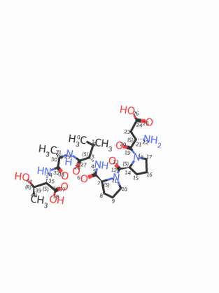 CC(C)[C@H](NC(=O)[C@@H]1CCCN1C(=O)[C@@H]1CCCN1C(=O)[C@@H](N)CC(=O)O)C(=O)N[C@@H](C)C(=O)N[C@H](C(=O)O)[C@@H](C)O